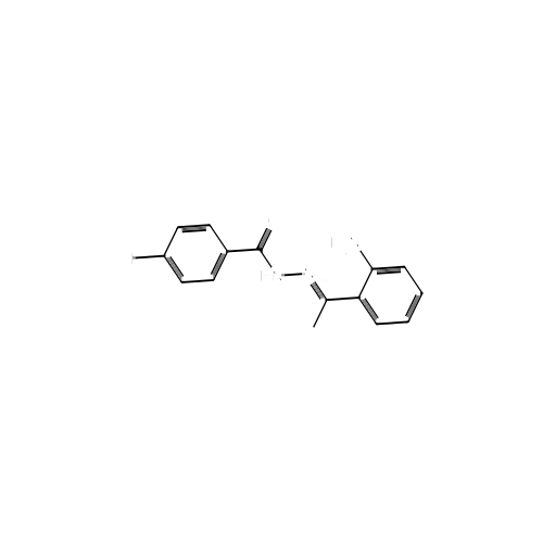 C/C(=N\NC(=O)c1ccc(Cl)cc1)c1ccccc1N